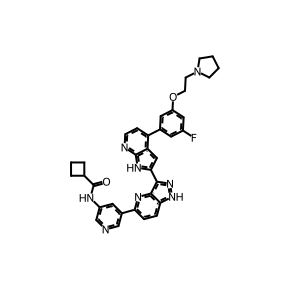 O=C(Nc1cncc(-c2ccc3[nH]nc(-c4cc5c(-c6cc(F)cc(OCCN7CCCC7)c6)ccnc5[nH]4)c3n2)c1)C1CCC1